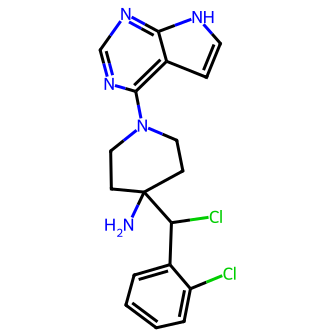 NC1(C(Cl)c2ccccc2Cl)CCN(c2ncnc3[nH]ccc23)CC1